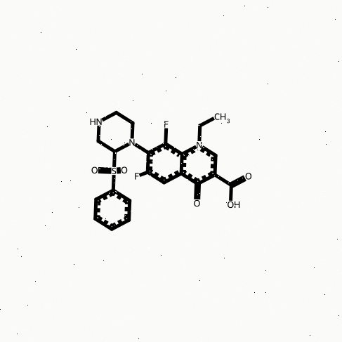 CCn1cc(C(=O)O)c(=O)c2cc(F)c(N3CCNCC3S(=O)(=O)c3ccccc3)c(F)c21